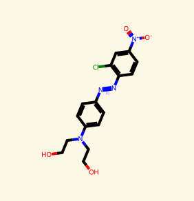 O=[N+]([O-])c1ccc(/N=N/c2ccc(N(CCO)CCO)cc2)c(Cl)c1